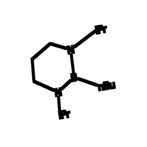 CCCCB1N(C(C)C)CCCN1C(C)C